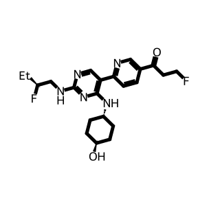 CC[C@H](F)CNc1ncc(-c2ccc(C(=O)CCF)cn2)c(N[C@H]2CC[C@H](O)CC2)n1